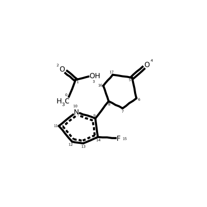 CC(=O)O.O=C1CCC(c2ncccc2F)CC1